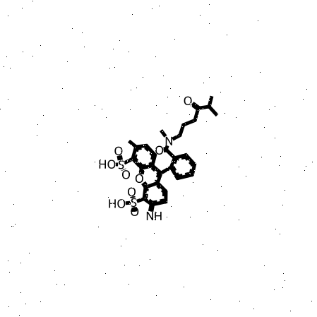 Cc1ccc2c(-c3ccccc3C(=O)N(C)CCCC(=O)C(C)C)c3ccc(=N)c(S(=O)(=O)O)c-3oc2c1S(=O)(=O)O